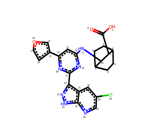 O=C(O)C1C2CCC(CC2)C1Nc1cc(-c2ccoc2)nc(-c2n[nH]c3ncc(Cl)cc23)n1